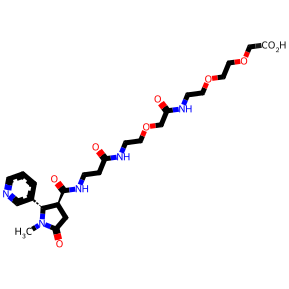 CN1C(=O)C[C@H](C(=O)NCCC(=O)NCCOCC(=O)NCCOCCOCC(=O)O)[C@H]1c1cccnc1